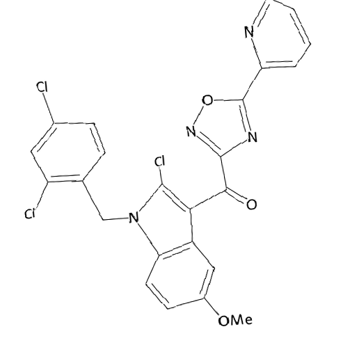 COc1ccc2c(c1)c(C(=O)c1noc(-c3ccccn3)n1)c(Cl)n2Cc1ccc(Cl)cc1Cl